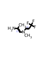 C/C(N)=C\N(C)/C=C/C(F)(F)F